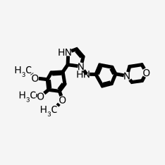 COc1cc(C2NC=CN2Nc2ccc(N3CCOCC3)cc2)cc(OC)c1OC